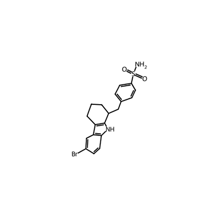 NS(=O)(=O)c1ccc(CC2CCCc3c2[nH]c2ccc(Br)cc32)cc1